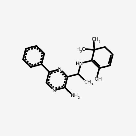 CC(NC1=C(O)C=CCC1(C)C)c1nc(-c2ccccc2)cnc1N